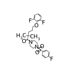 CC(C)(CCCOc1c(F)cccc1F)C(=O)N1CCN(S(=O)(=O)c2ccc(F)cc2)CC1